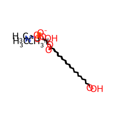 C[N+](C)(C)CCOP(=O)([O-])OC[C@H](O)COC(=O)C=CC=CC=CC=CC=CCCCCCCCCCOO